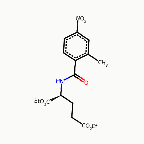 CCOC(=O)CC[C@H](NC(=O)c1ccc([N+](=O)[O-])cc1C)C(=O)OCC